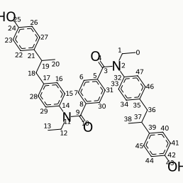 CCN(C(=O)c1ccc(C(=O)N(CC)c2ccc(CC(C)c3ccc(O)cc3)cc2)cc1)c1ccc(CC(C)c2ccc(O)cc2)cc1